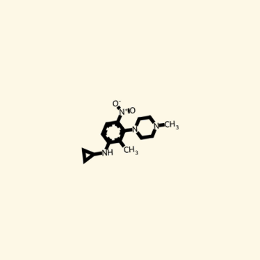 Cc1c(NC2CC2)ccc([N+](=O)[O-])c1N1CCN(C)CC1